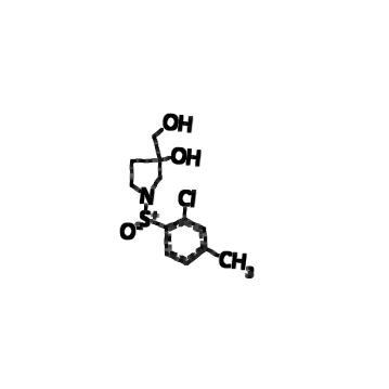 Cc1ccc([S+]([O-])N2CCC(O)(CO)C2)c(Cl)c1